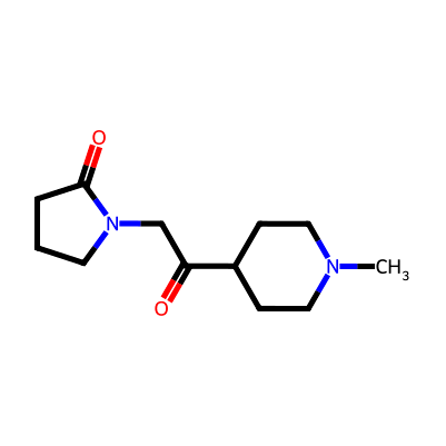 CN1CCC(C(=O)CN2CCCC2=O)CC1